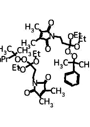 CCCC(C)(C)OOC(CCN1C(=O)C(C)=C(C)C1=O)(OCC)OCC.CCOC(CCN1C(=O)C(C)=C(C)C1=O)(OCC)OOC(C)(C)c1ccccc1